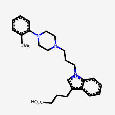 COc1ccccc1N1CCN(CCCn2cc(CCCC(=O)O)c3ccccc32)CC1